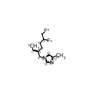 C/C=C(\CCC(F)CF)Cn1cnc(C)c1